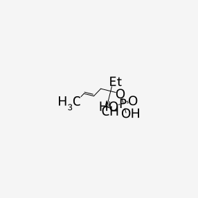 C#CC(CC)(CC=CC)OP(=O)(O)O